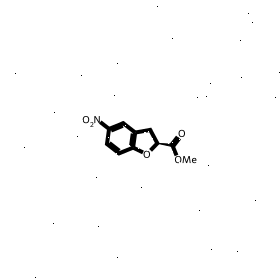 COC(=O)[C@@H]1Cc2cc([N+](=O)[O-])ccc2O1